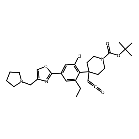 CCc1cc(-c2nc(CN3CCCC3)co2)cc(Cl)c1C1(C=C=O)CCN(C(=O)OC(C)(C)C)CC1